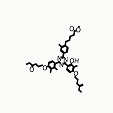 C=C(CC)CCCOc1ccc(-c2nc(-c3ccc(CCCCC(=O)OC)c(C)c3)nc(-c3ccc(OCCCC(=O)CC)c(C)c3C)n2)c(O)c1C